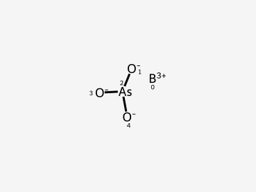 [B+3].[O-][As]([O-])[O-]